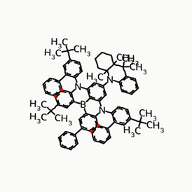 CC(C)(C)c1ccc2c(c1)B1c3cc(-c4ccccc4)ccc3N(c3ccc(C(C)(C)C)cc3-c3ccccc3)c3cc(N4c5ccccc5C(C)(C)C5(C)CCCCC45C)cc(c31)N2c1ccc(C(C)(C)C)cc1-c1ccccc1